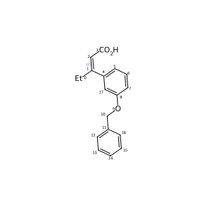 CC/C(=C/C(=O)O)c1cccc(OCc2ccccc2)c1